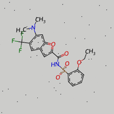 CCOc1ccccc1S(=O)(=O)NC(=O)c1cc2cc(C(F)(F)F)c(N(C)C)cc2o1